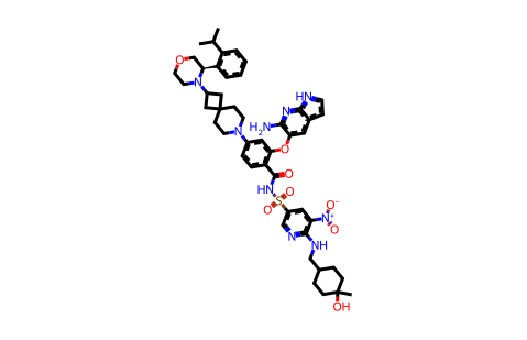 CC(C)c1ccccc1[C@@H]1COCCN1C1CC2(CCN(c3ccc(C(=O)NS(=O)(=O)c4cnc(NCC5CCC(C)(O)CC5)c([N+](=O)[O-])c4)c(Oc4cc5cc[nH]c5nc4N)c3)CC2)C1